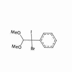 COC(OC)C(Br)(I)c1ccccc1